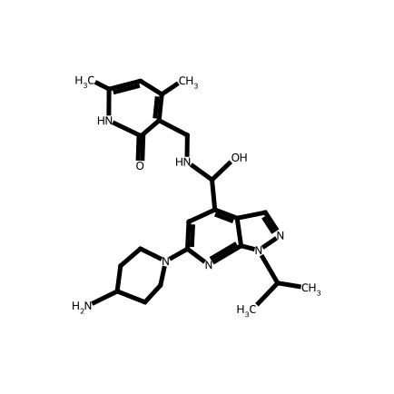 Cc1cc(C)c(CNC(O)c2cc(N3CCC(N)CC3)nc3c2cnn3C(C)C)c(=O)[nH]1